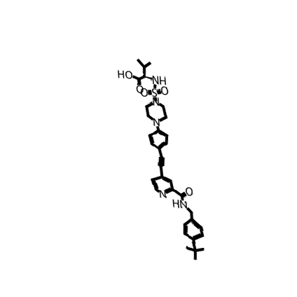 CC(C)[C@@H](NS(=O)(=O)N1CCN(c2ccc(C#Cc3ccnc(C(=O)NCc4ccc(C(C)(C)C)cc4)c3)cc2)CC1)C(=O)O